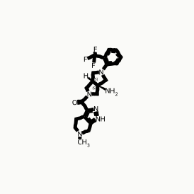 CN1CCc2c(C(=O)N3C[C@@H]4CN(c5ccccc5C(F)(F)F)C[C@]4(N)C3)n[nH]c2C1